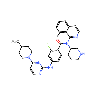 COC1CCN(c2ccnc(Nc3ccc(C(=O)N(c4nccc5cccc(C)c45)[C@@H]4CCCNC4)c(F)c3)n2)CC1